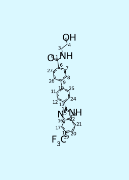 O=C(NCCO)c1ccc(-c2ccc(-c3nc4cc(C(F)(F)F)ccc4[nH]3)cc2)cc1